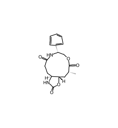 C[C@@H]1C[C@@H]2OC(=O)N[C@H]2CCC(=O)N[C@H](c2ccccc2)COC1=O